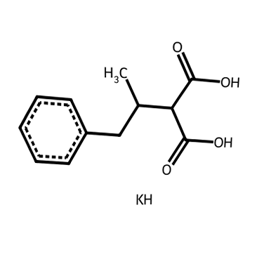 CC(Cc1ccccc1)C(C(=O)O)C(=O)O.[KH]